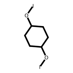 IOC1CCC(OI)CC1